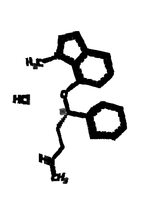 CNCC[C@H](Oc1cccc2ccn(C)c12)c1ccccc1.Cl